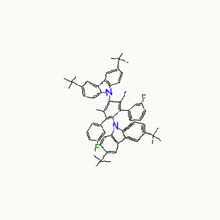 Cc1c(-c2cccc(F)c2)c(-n2c3ccc(C(C)(C)C)cc3c3cc(C(C)(C)C)ccc32)c(-c2cccc(F)c2)c(C)c1-n1c2ccc(C(C)(C)C)cc2c2cc(C(C)(C)C)ccc21